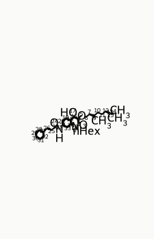 CCCCCCn1c(=O)c(OC/C=C(\C)CCC=C(C)C)c(O)c2ccc(NC(=O)C=Cc3ccccc3)cc21